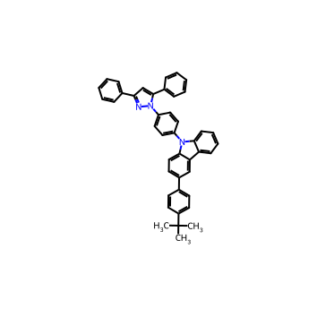 CC(C)(C)c1ccc(-c2ccc3c(c2)c2ccccc2n3-c2ccc(-n3nc(-c4ccccc4)cc3-c3ccccc3)cc2)cc1